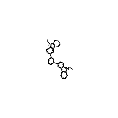 CCn1c2c(c3cc(-c4cccc(-c5ccc6c(c5)c5ccccc5n6CC)c4)ccc31)C=CCC2